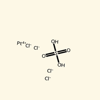 O=S(=O)(O)O.[Cl-].[Cl-].[Cl-].[Cl-].[Pt+4]